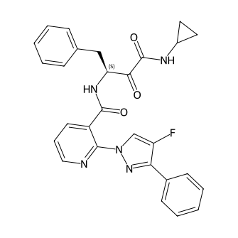 O=C(NC1CC1)C(=O)[C@H](Cc1ccccc1)NC(=O)c1cccnc1-n1cc(F)c(-c2ccccc2)n1